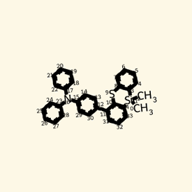 C[Si]1(C)c2ccccc2Sc2c(-c3ccc(N(c4ccccc4)c4ccccc4)cc3)cccc21